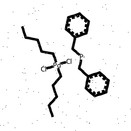 CCCC[CH2][Pd]([Cl])([Cl])[CH2]CCCC.c1ccc(C[P]Cc2ccccc2)cc1